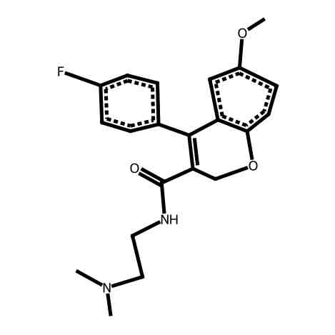 COc1ccc2c(c1)C(c1ccc(F)cc1)=C(C(=O)NCCN(C)C)CO2